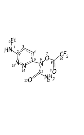 CCNc1ccc(N(OC(=O)C(F)(F)F)C(N)=O)nn1